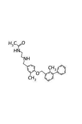 CC(=O)NCCNCc1ccc(OCc2cccc(-c3ccccc3)c2C)c(C)c1